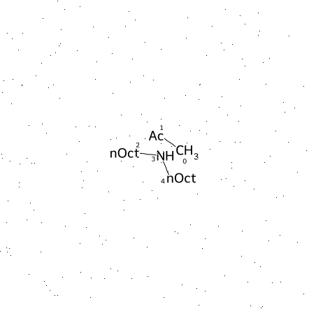 CC(C)=O.CCCCCCCCNCCCCCCCC